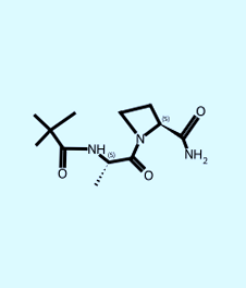 C[C@H](NC(=O)C(C)(C)C)C(=O)N1CC[C@H]1C(N)=O